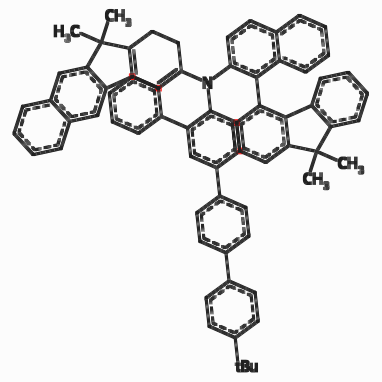 CC(C)(C)c1ccc(-c2ccc(-c3ccc(N(C4=CC5=C(CC4)C(C)(C)c4cc6ccccc6cc45)c4ccc5ccccc5c4-c4c#ccc5c4-c4ccccc4C5(C)C)c(-c4ccccc4)c3)cc2)cc1